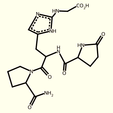 NC(=O)C1CCCN1C(=O)C(Cc1cnc(NCC(=O)O)[nH]1)NC(=O)C1CCC(=O)N1